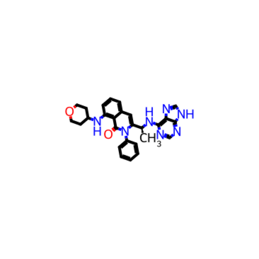 C[C@H](Nc1ncnc2[nH]cnc12)c1cc2cccc(NC3CCOCC3)c2c(=O)n1-c1ccccc1